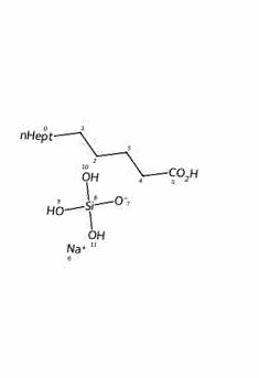 CCCCCCCCCCCC(=O)O.[Na+].[O-][Si](O)(O)O